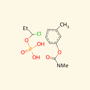 CCC(Cl)OP(=O)(O)O.CNC(=O)Oc1cccc(C)c1